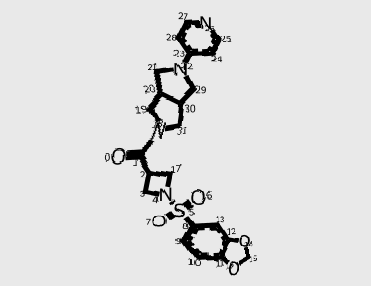 O=C(C1CN(S(=O)(=O)c2ccc3c(c2)OCO3)C1)N1CC2CN(c3ccncc3)CC2C1